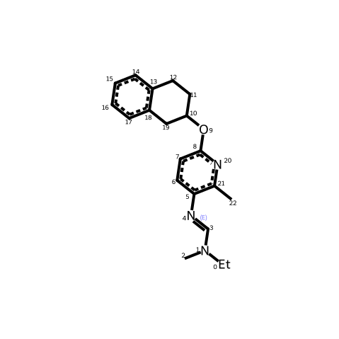 CCN(C)/C=N/c1ccc(OC2CCc3ccccc3C2)nc1C